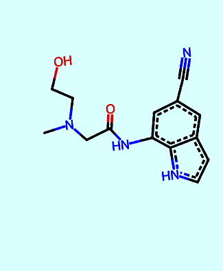 CN(CCO)CC(=O)Nc1cc(C#N)cc2cc[nH]c12